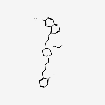 COc1ccc2nccc(CCC[C@@H]3CCN(CCCCc4ccccc4C(F)(F)F)C[C@@H]3CCC(=O)O)c2c1